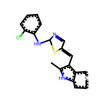 Cc1[nH]c2ccccc2c1/C=C1/C=NC(Nc2ccccc2Cl)S1